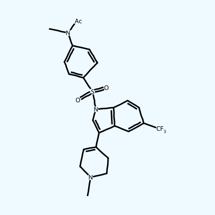 CC(=O)N(C)c1ccc(S(=O)(=O)n2cc(C3=CCN(C)CC3)c3cc(C(F)(F)F)ccc32)cc1